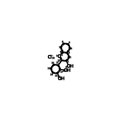 Oc1cc2ccccc2[o+]c1-c1cccc(O)c1O.[Cl-]